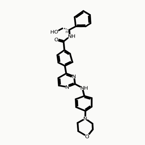 O=C(N[C@H](CO)c1ccccc1)c1ccc(-c2ccnc(Nc3ccc(N4CCOCC4)cc3)n2)cc1